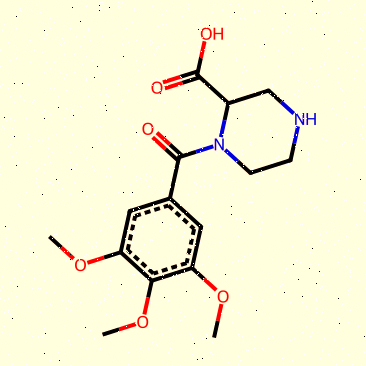 COc1cc(C(=O)N2CCNCC2C(=O)O)cc(OC)c1OC